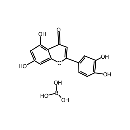 O=c1cc(-c2ccc(O)c(O)c2)oc2cc(O)cc(O)c12.OB(O)O